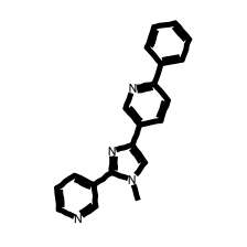 Cn1cc(-c2ccc(-c3ccccc3)nc2)nc1-c1cccnc1